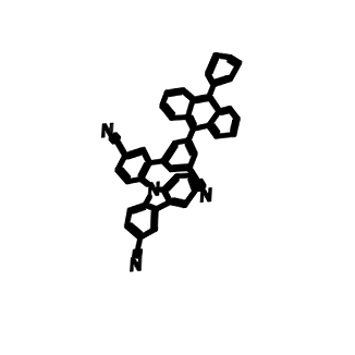 N#Cc1cc(-c2cc(C#N)ccc2-n2c3ccccc3c3cc(C#N)ccc32)cc(-c2c3ccccc3c(-c3ccccc3)c3ccccc23)c1